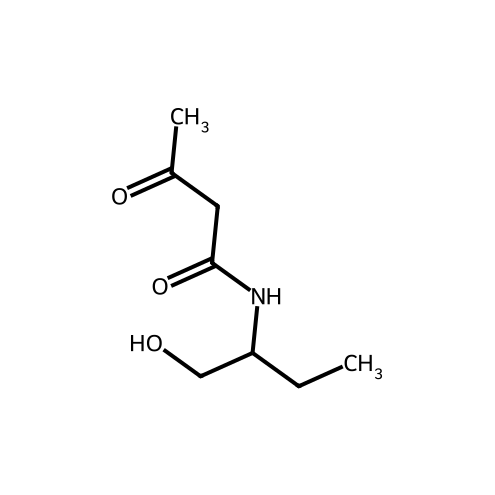 CCC(CO)NC(=O)CC(C)=O